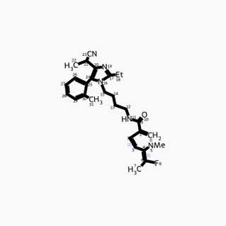 C=C(/C=C\C(NC)=C(/C)F)C(=O)NCCCCn1c(CC)nc(C(C)C#N)c1-c1ccccc1C